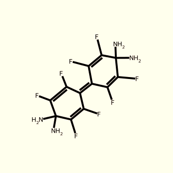 NC1(N)C(F)=C(F)C(=C2C(F)=C(F)C(N)(N)C(F)=C2F)C(F)=C1F